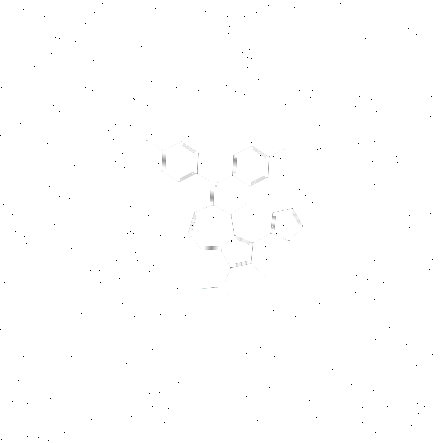 CC1=[C]([Hf]([Cl])[Cl])C2=CC=CC(=[Si](c3ccc(Cl)cc3)c3ccc(Cl)cc3)C(C)C2=C1C1=CC=CC1